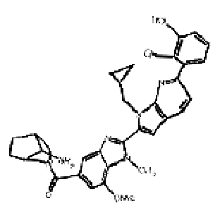 COc1cc(C(=O)N2CC3CCC2C3N)cc2nc(-c3cc4ccc(-c5cccc(O)c5Cl)nc4n3CC3CC3)n(C)c12